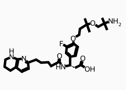 CC(C)(N)COC(C)(C)CCOc1ccc([C@H](CC(=O)O)NC(=O)CCCCc2ccc3c(n2)NCCC3)cc1F